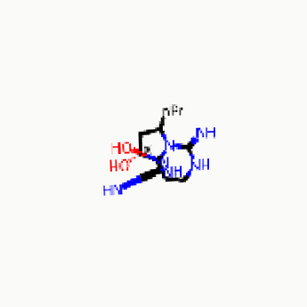 CCCC1C[C@@H](O)C23C(CNC(=N)N12)NC(=N)N3O